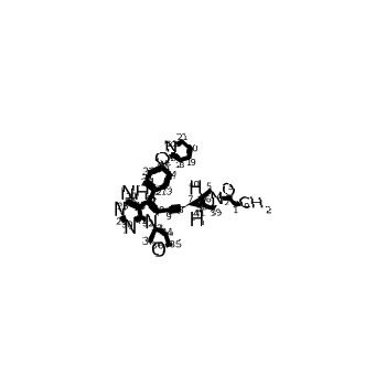 C=CC(=O)N1C[C@@H]2[C@@H](C#Cc3c(-c4ccc(Oc5ccccn5)cc4)c4c(N)ncnc4n3C3CCOC3)[C@@H]2C1